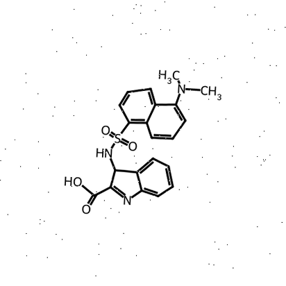 CN(C)c1cccc2c(S(=O)(=O)NC3C(C(=O)O)=Nc4ccccc43)cccc12